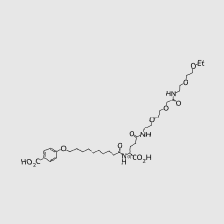 CCOCCOCCNC(=O)COCCOCCNC(=O)CC[C@H](NC(=O)CCCCCCCCCOc1ccc(C(=O)O)cc1)C(=O)O